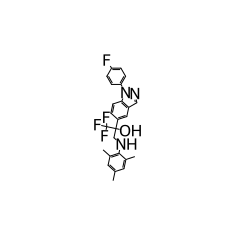 Cc1cc(C)c(NCC(O)(c2ccc3c(cnn3-c3ccc(F)cc3)c2)C(F)(F)F)c(C)c1